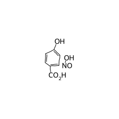 O=C(O)c1ccc(O)cc1.O=NO